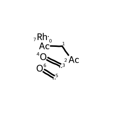 CC(=O)CC(C)=O.[C]=O.[C]=O.[Rh]